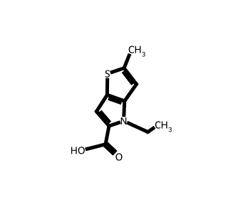 CCn1c(C(=O)O)cc2sc(C)cc21